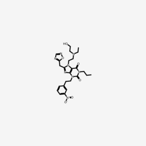 CCCn1c(=O)c2c(nc(Cc3ncno3)n2CCN(CC)CCO)n(CCc2cccc([N+](=O)[O-])c2)c1=O